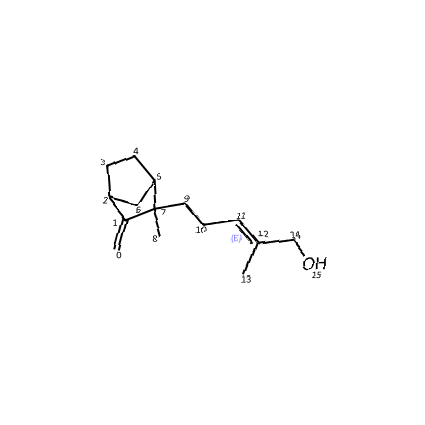 C=C1C2CCC(C2)C1(C)CC/C=C(\C)CO